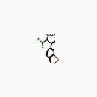 C=C(c1ccc2c(c1)SCC2)C(NC)C(F)F